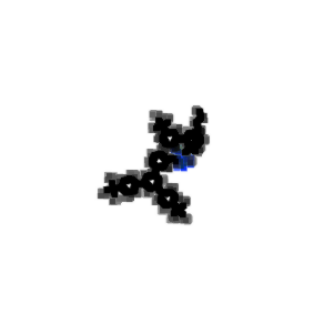 CCCCCCC(C)(C)c1nnc(-c2cccc(-c3cc(-c4ccc(C(C)(C)C)cc4)cc(-c4ccc(C(C)(C)C)cc4)c3)c2)n1-c1ccc(C(C)(C)C)cc1-c1ccccc1